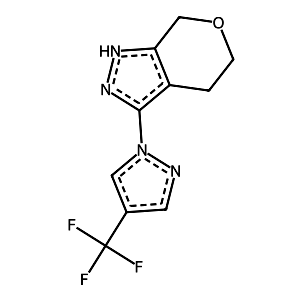 FC(F)(F)c1cnn(-c2n[nH]c3c2CCOC3)c1